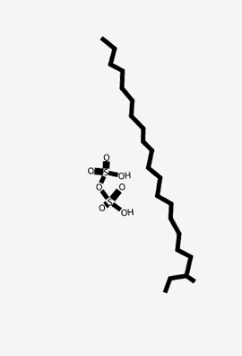 CCCCCCCCCCCCCCCCCCC(C)CC.O=S(=O)(O)OS(=O)(=O)O